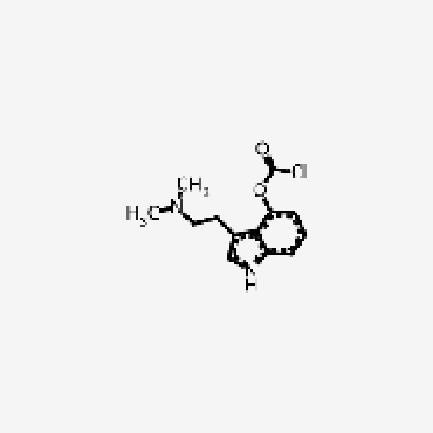 CN(C)CCc1c[nH]c2cccc(OC(=O)Cl)c12